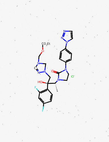 CCOC(=O)OCN1[C+]=NN(C[C@@](O)(c2ccc(F)cc2F)[C@@H](C)N2CCN(c3ccc(-n4ccnn4)cc3)C2=O)C1.[Cl-]